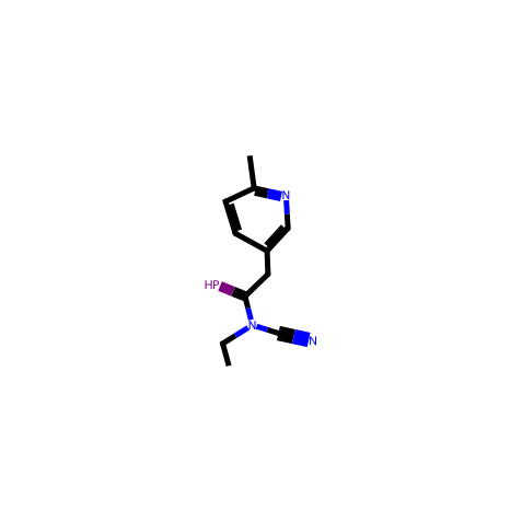 CCN(C#N)C(=P)Cc1ccc(C)nc1